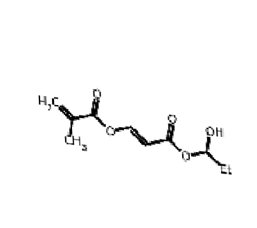 C=C(C)C(=O)OC=CC(=O)OC(O)CC